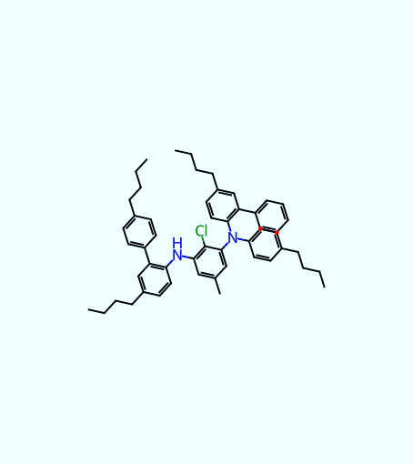 CCCCc1ccc(-c2cc(CCCC)ccc2Nc2cc(C)cc(N(c3ccc(CCCC)cc3)c3ccc(CCCC)cc3-c3ccccc3)c2Cl)cc1